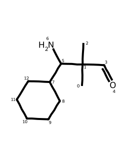 CC(C)(C=O)C(N)C1CCCCC1